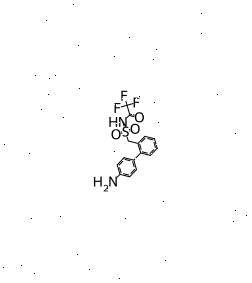 Nc1ccc(-c2ccccc2CS(=O)(=O)NC(=O)C(F)(F)F)cc1